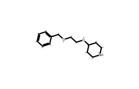 c1ccc(COCCOC2CCNCC2)cc1